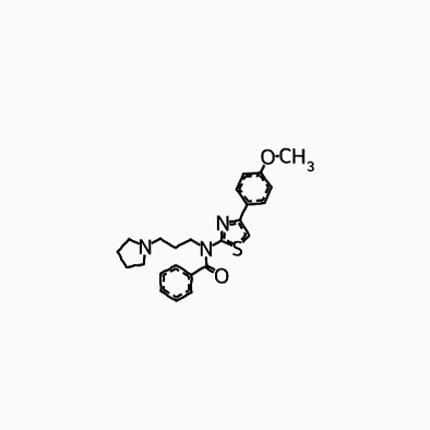 COc1ccc(-c2csc(N(CCCN3CCCC3)C(=O)c3ccccc3)n2)cc1